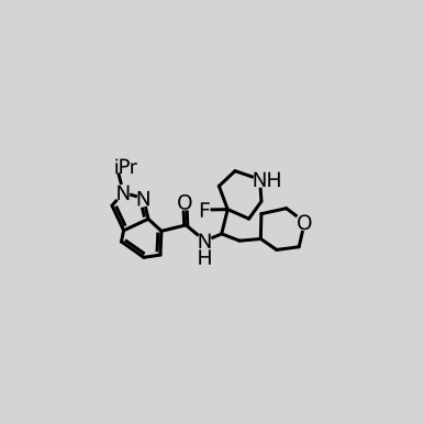 CC(C)n1cc2cccc(C(=O)NC(CC3CCOCC3)C3(F)CCNCC3)c2n1